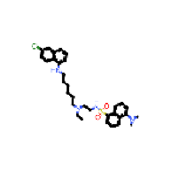 CCN(CCCCCCNc1cccc2cc(Cl)ccc12)CCNS(=O)(=O)c1cccc2c(N(C)C)cccc12